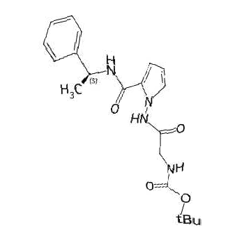 C[C@H](NC(=O)c1cccn1NC(=O)CNC(=O)OC(C)(C)C)c1ccccc1